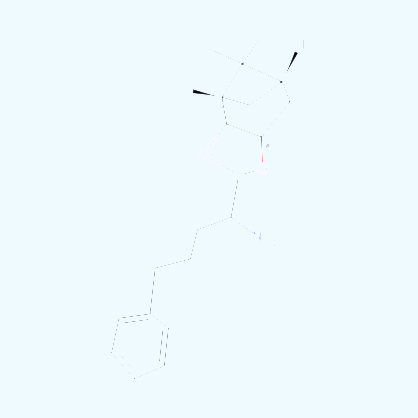 CC1(C)[C@@H]2C[C@H]3OB(C(N)CCCc4ccccc4)O[C@@]3(C)[C@H]1C2